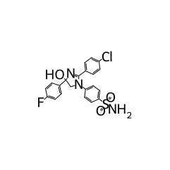 NS(=O)(=O)c1ccc(N2CC(O)(c3ccc(F)cc3)N=C2c2ccc(Cl)cc2)cc1